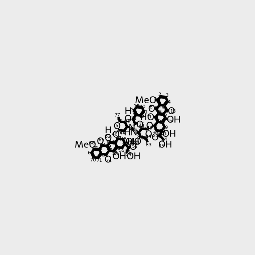 COc1cccc2c1C(=O)c1c(O)c3c(c(O)c1C2=O)C[C@@](O)(C(=O)CO)C[C@@H]3OC1CC(NN(C(=O)Cc2ccccc2)C2CC(O[C@H]3C[C@](O)(C(=O)CO)Cc4c(O)c5c(c(O)c43)C(=O)c3c(OC)cccc3C5=O)OC(C)C2O)C(O)C(C)O1